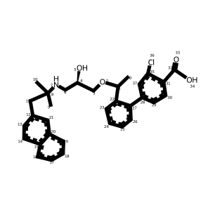 CC(OC[C@H](O)CNC(C)(C)Cc1ccc2ccccc2c1)c1ccccc1-c1ccc(C(=O)O)c(Cl)c1